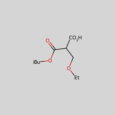 CCOCC(C(=O)O)C(=O)OC(C)CC